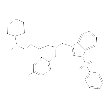 CN(CCCCN(Cc1ccc(F)nc1)Cc1cn(S(=O)(=O)c2ccccc2)c2ccccc12)C1CCCCC1